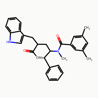 COC(=O)C(Cc1c[nH]c2ccccc12)CC(Cc1ccccc1)N(C)C(=O)c1cc(C)cc(C)c1